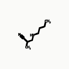 CCCCNCC(C)C#N